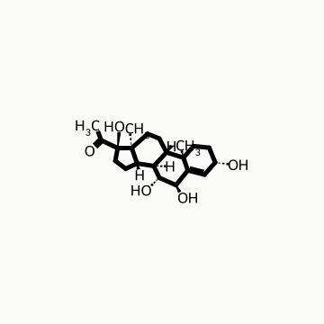 CC(=O)[C@@]1(O)CC[C@H]2[C@@H]3[C@@H](O)[C@H](O)C4=C[C@@H](O)CC[C@]4(C)[C@H]3CC[C@@]21C